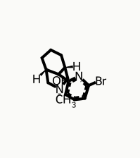 CN1C[C@H]2CCC[C@@H](C1)C2(O)c1cccc(Br)n1